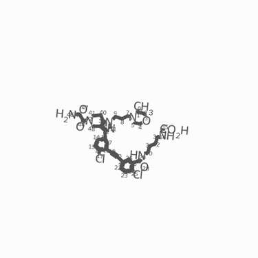 C[C@H]1COCCN1CCCn1nc(-c2ccc(Cl)c(C#Cc3ccc(Cl)c(C(=O)NCCCCNC(=O)O)c3)c2)c2c1CCN(C(=O)C(N)=O)C2